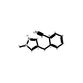 Cn1cc(Cc2ccccc2C#N)cn1